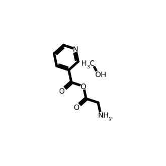 CO.NCC(=O)OC(=O)c1cccnc1